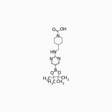 CC1(C)OB(c2cnc(NCC3CCN(C(=O)O)CC3)nc2)OC1(C)C